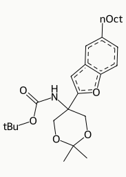 CCCCCCCCc1ccc2oc(C3(NC(=O)OC(C)(C)C)COC(C)(C)OC3)cc2c1